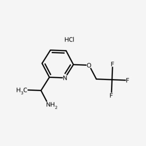 CC(N)c1cccc(OCC(F)(F)F)n1.Cl